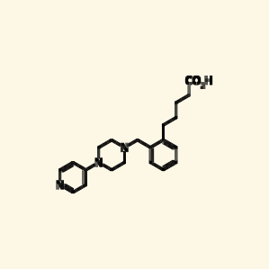 O=C(O)CCCCc1ccccc1CN1CCN(c2ccncc2)CC1